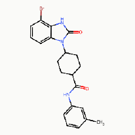 Cc1cccc(NC(=O)C2CCC(n3c(=O)[nH]c4c(Br)cccc43)CC2)c1